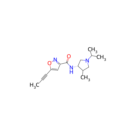 CC#Cc1cc(C(=O)N[C@@H]2CN(C(C)C)CC2C)no1